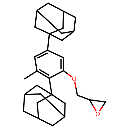 Cc1cc(C23CC4CC(CC(C4)C2)C3)cc(OCC2CO2)c1C12CC3CC(CC(C3)C1)C2